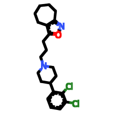 Clc1cccc(C2CCN(CCCc3onc4c3CCCCC4)CC2)c1Cl